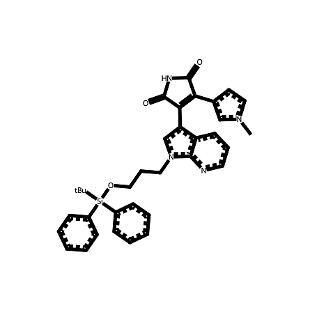 Cn1ccc(C2=C(c3cn(CCCO[Si](c4ccccc4)(c4ccccc4)C(C)(C)C)c4ncccc34)C(=O)NC2=O)c1